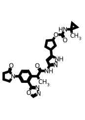 CC(C(=O)Nc1cc(C2CCC(OC(=O)NC3(C)CC3)C2)[nH]n1)c1ccc(N2CCCC2=O)cc1-c1nnco1